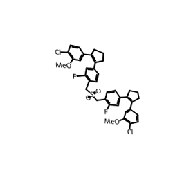 COc1cc(C2=C(c3ccc(CS(=O)(=O)Cc4ccc(C5=C(c6ccc(Cl)c(OC)c6)CCC5)cc4F)c(F)c3)CCC2)ccc1Cl